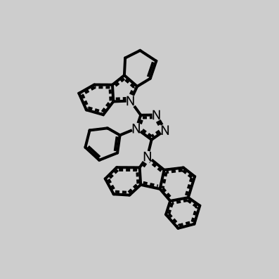 C1=CCCC(n2c(-n3c4c(c5ccccc53)CCC=C4)nnc2-n2c3ccccc3c3c4ccccc4ccc32)=C1